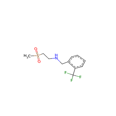 CS(=O)(=O)CCNCc1ccccc1C(F)(F)F